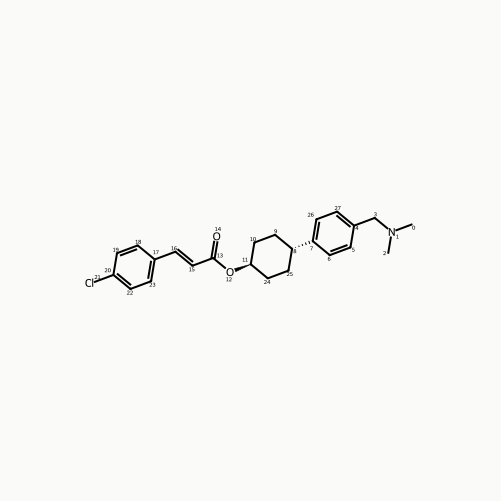 CN(C)Cc1ccc([C@H]2CC[C@H](OC(=O)C=Cc3ccc(Cl)cc3)CC2)cc1